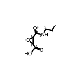 CCCNC(=O)C1OC1C(=O)O